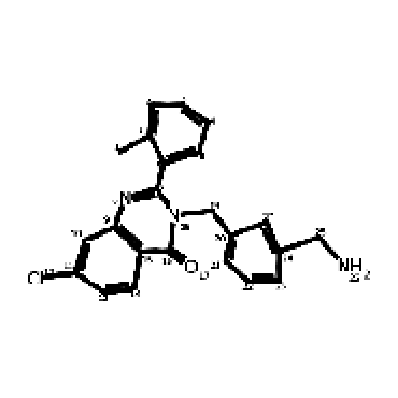 Cc1ccccc1-c1nc2cc(Cl)ccc2c(=O)n1Cc1cccc(CN)c1